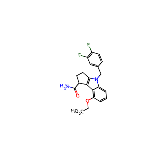 NC(=O)C1CCc2c1c1c(OCC(=O)O)cccc1n2Cc1ccc(F)c(F)c1